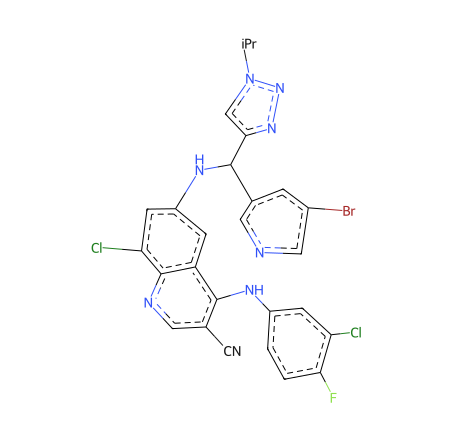 CC(C)n1cc(C(Nc2cc(Cl)c3ncc(C#N)c(Nc4ccc(F)c(Cl)c4)c3c2)c2cncc(Br)c2)nn1